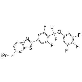 CC(C)Cc1ccc2nc(-c3cc(F)c(C(F)(F)Oc4cc(F)c(F)c(F)c4)c(F)c3)sc2c1